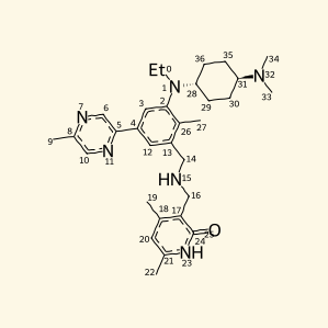 CCN(c1cc(-c2cnc(C)cn2)cc(CNCc2c(C)cc(C)[nH]c2=O)c1C)[C@H]1CC[C@H](N(C)C)CC1